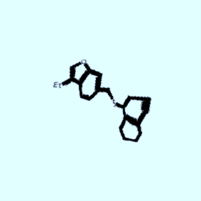 CCc1coc2cc(CSc3cccc4c3CCCC4)ccc12